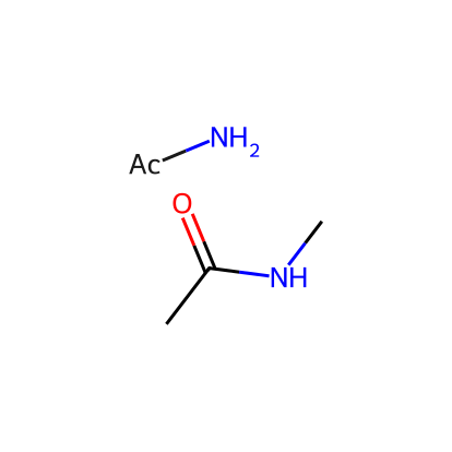 CC(N)=O.CNC(C)=O